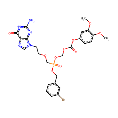 COc1ccc(OC(=O)OCOP(=O)(COCCn2cnc3c(=O)[nH]c(N)nc32)OCc2cccc(Br)c2)cc1OC